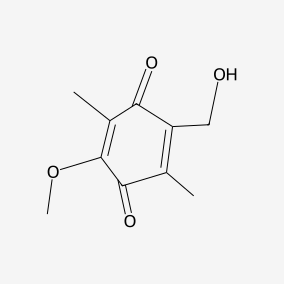 COC1=C(C)C(=O)C(CO)=C(C)C1=O